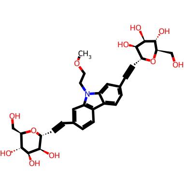 COCCn1c2cc(C#C[C@H]3O[C@H](CO)[C@@H](O)[C@H](O)[C@@H]3O)ccc2c2ccc(C#C[C@H]3O[C@H](CO)[C@@H](O)[C@H](O)[C@@H]3O)cc21